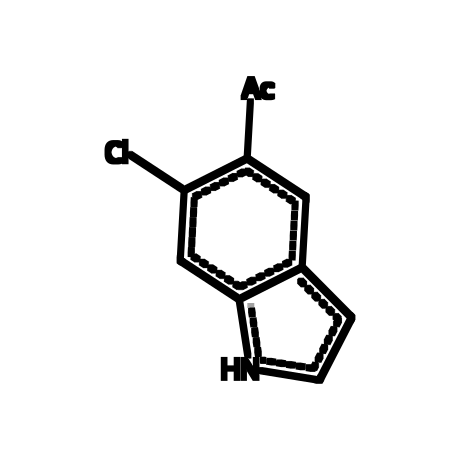 CC(=O)c1cc2cc[nH]c2cc1Cl